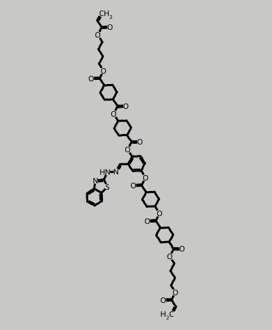 C=CC(=O)OCCCCOC(=O)C1CCC(C(=O)OC2CCC(C(=O)Oc3ccc(OC(=O)C4CCC(OC(=O)C5CCC(C(=O)OCCCCOC(=O)C=C)CC5)CC4)c(/C=N/Nc4nc5ccccc5s4)c3)CC2)CC1